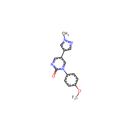 Cn1cc(-c2cnc(=O)n(-c3ccc(OC(F)(F)F)cc3)c2)cn1